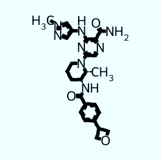 C[C@@H]1[C@H](NC(=O)c2ccc(C3COC3)cc2)CCCN1c1cnc(C(N)=O)c(Nc2cnn(C)c2)n1